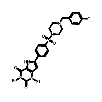 CCn1c(=O)c2[nH]c(-c3ccc(S(=O)(=O)N4CCN(Cc5ccc(F)cc5)CC4)cc3)cc2n(CC)c1=O